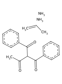 C=CC.CC(=O)C(C(=O)c1ccccc1)C(=O)c1ccccc1.N.N